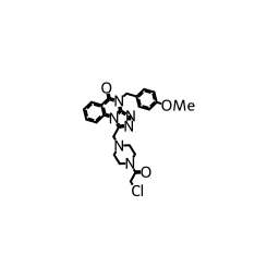 COc1ccc(Cn2c(=O)c3ccccc3n3c(CN4CCN(C(=O)CCl)CC4)nnc23)cc1